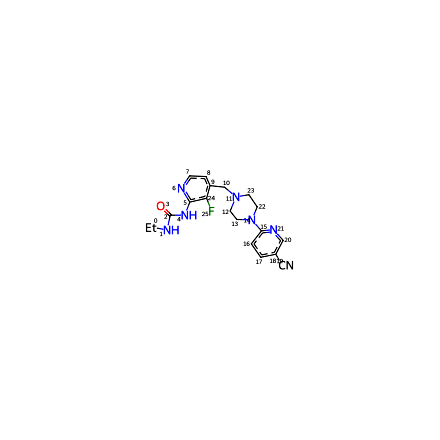 CCNC(=O)Nc1nccc(CN2CCN(c3ccc(C#N)cn3)CC2)c1F